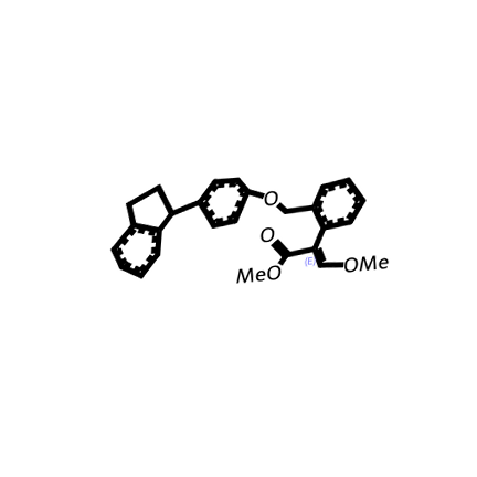 CO/C=C(/C(=O)OC)c1ccccc1COc1ccc(C2CCc3ccccc32)cc1